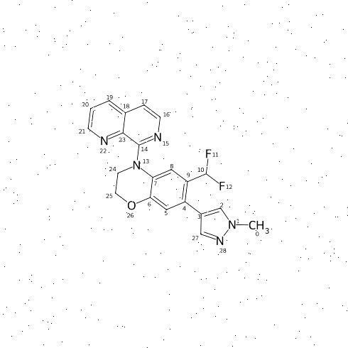 Cn1cc(-c2cc3c(cc2C(F)F)N(c2nccc4cccnc24)CCO3)cn1